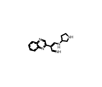 N=C/C(=C\NC1CCNC1)c1cnc2ccccc2n1